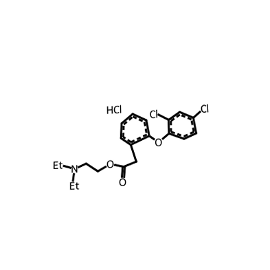 CCN(CC)CCOC(=O)Cc1ccccc1Oc1ccc(Cl)cc1Cl.Cl